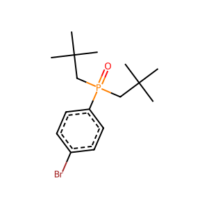 CC(C)(C)CP(=O)(CC(C)(C)C)c1ccc(Br)cc1